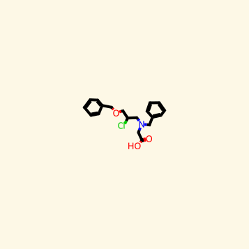 O=C(O)CN(Cc1ccccc1)CC(Cl)COCc1ccccc1